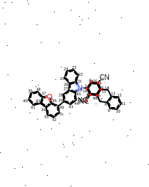 N#Cc1cccc2c1C1c3ccccc3C2c2c(C#N)cc(-n3c4ccccc4c4cc(-c5cccc6c5oc5ccccc56)ccc43)c(C#N)c21